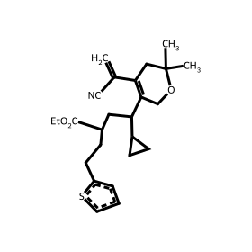 C=C(C#N)C1=C(C(CC(CCc2cccs2)C(=O)OCC)C2CC2)COC(C)(C)C1